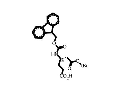 CC(C)(C)OC(=O)C[C@H](CCC(=O)O)NC(=O)OCC1c2ccccc2-c2ccccc21